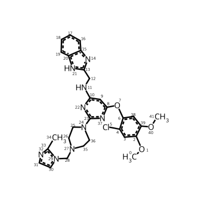 COc1cc(Cl)c(Oc2cc(NCc3nc4ccccc4[nH]3)nc(N3CCN(Cn4ccnc4C)CC3)n2)cc1OC